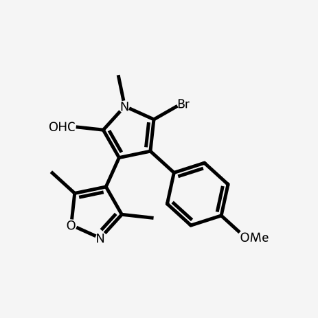 COc1ccc(-c2c(-c3c(C)noc3C)c(C=O)n(C)c2Br)cc1